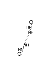 c1ccc(CNCCNCCCCCCCNCCNCc2ccccc2)cc1